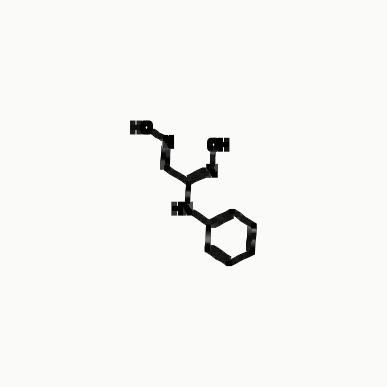 ON=CC(=NO)Nc1ccccc1